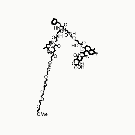 CC[C@@]1(O)C(=O)OCc2c1cc1n(c2=O)Cc2c-1nc1cc(F)c(C)c3c1c2[C@@H](NC(=O)[C@H](O)CCOCNC(=O)CNC(=O)[C@H](Cc1ccccc1)NC(=O)CNC(=O)CNC(=O)C(CNC(=O)CCOCCOCCOCCOCCOCCOCCOCCOC)N1C(=O)CC(C)C1=O)CC3